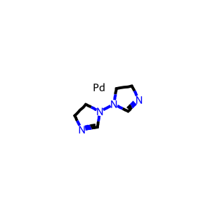 C1=NCCN1N1C=NCC1.[Pd]